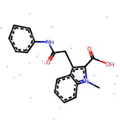 Cn1c(C(=O)O)c(CC(=O)Nc2ccccc2)c2ccccc21